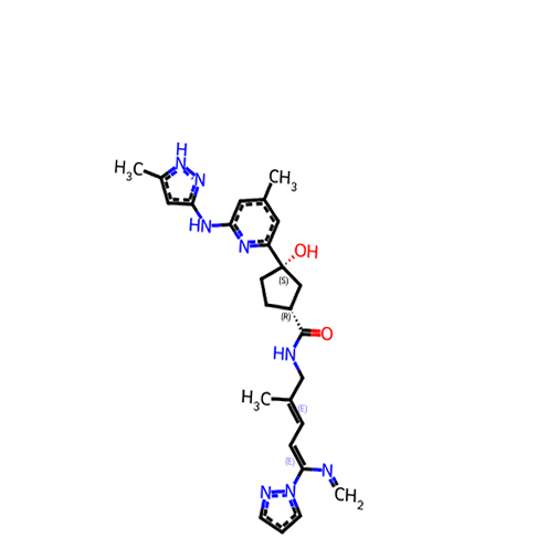 C=N/C(=C\C=C(/C)CNC(=O)[C@@H]1CC[C@@](O)(c2cc(C)cc(Nc3cc(C)[nH]n3)n2)C1)n1cccn1